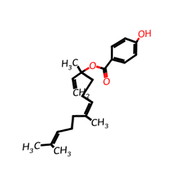 C=CC(C)(CCC=C(C)CCC=C(C)C)OC(=O)c1ccc(O)cc1